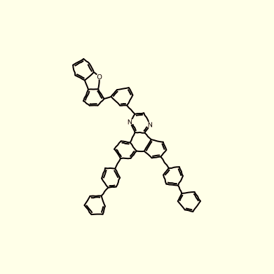 c1ccc(-c2ccc(-c3ccc4c(c3)c3cc(-c5ccc(-c6ccccc6)cc5)ccc3c3nc(-c5cccc(-c6cccc7c6oc6ccccc67)c5)cnc43)cc2)cc1